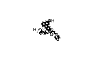 C=CC(=O)N1CC(CN2C(=O)C(CCCN3CCOCC3)Oc3cc(-c4cc(O)cc5ccccc45)c(Cl)cc32)C1